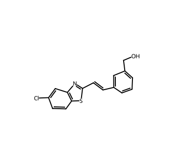 OCc1cccc(C=Cc2nc3cc(Cl)ccc3s2)c1